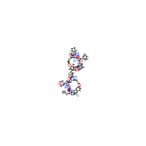 CN(C)[C@H]1Cc2cccc(c2)OCCCC[C@@H](C(=O)NC2CCC(c3cc4cc(c3)OCCCC[C@@H](C(=O)NC3CCCC3)NC(=O)[C@H](COc3ccccc3)NC(=O)[C@@H](N3CCCC3O)C4)C2)NC(=O)[C@H](CCN2CCOCC2)NC1=O